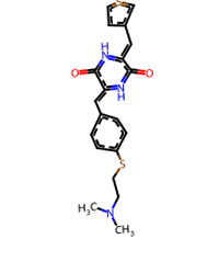 CN(C)CCSc1ccc(C=c2[nH]c(=O)c(=Cc3ccsc3)[nH]c2=O)cc1